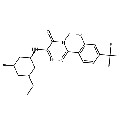 CCN1C[C@@H](C)C[C@@H](Nc2nnc(-c3ccc(C(F)(F)F)cc3O)n(C)c2=O)C1